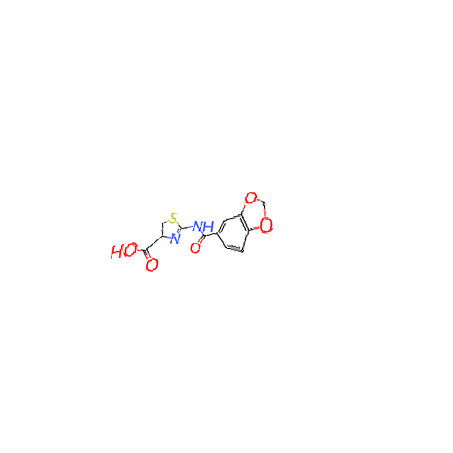 O=C(NC1=NC(C(=O)O)CS1)c1ccc2c(c1)OCO2